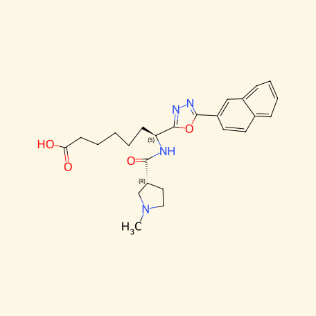 CN1CC[C@@H](C(=O)N[C@@H](CCCCCC(=O)O)c2nnc(-c3ccc4ccccc4c3)o2)C1